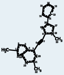 Cc1ccc2c(C#Cc3nc(-c4ccccc4)cn3C)nc(C)nc2c1